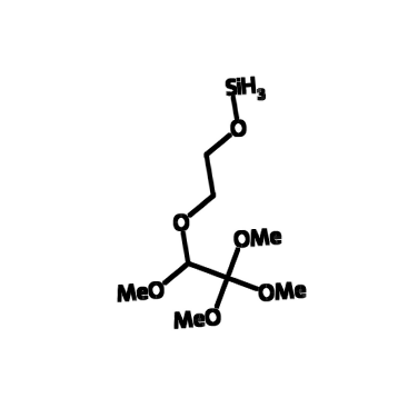 COC(OCCO[SiH3])C(OC)(OC)OC